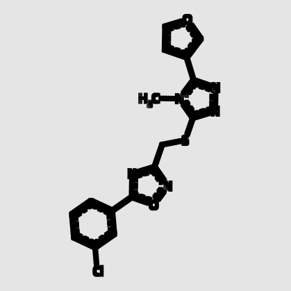 Cn1c(SCc2noc(-c3cccc(Cl)c3)n2)nnc1-c1ccoc1